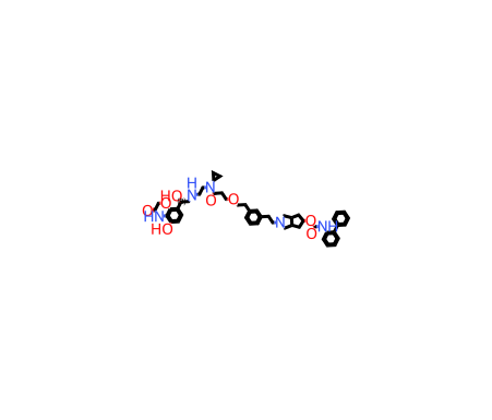 O=C1COc2c([C@@H](O)CNCCN(C(=O)CCOCCc3cccc(CCN4CC5CC(OC(=O)Nc6ccccc6-c6ccccc6)CC5C4)c3)C3CC3)ccc(O)c2N1